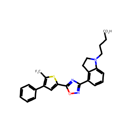 O=C(O)CCCN1CCc2c(-c3noc(-c4cc(-c5ccccc5)c(C(F)(F)F)s4)n3)cccc21